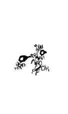 CNS(=O)(=O)c1cccc(Nc2cc(Nc3cccc(S(=O)(=O)NC)c3)ncn2)c1.O=C(O)C(F)(F)F